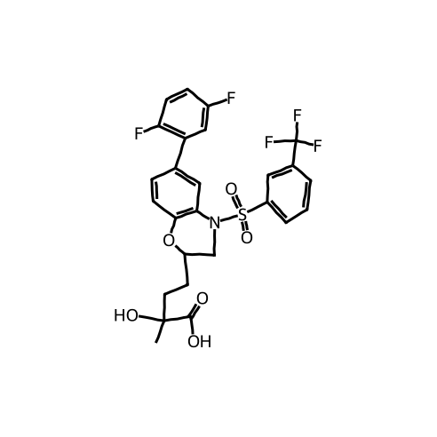 CC(O)(CCC1CN(S(=O)(=O)c2cccc(C(F)(F)F)c2)c2cc(-c3cc(F)ccc3F)ccc2O1)C(=O)O